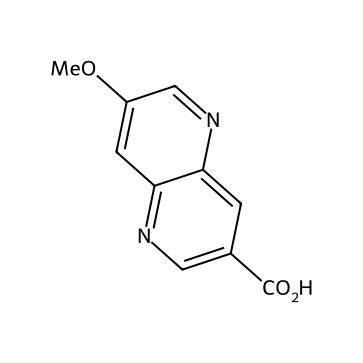 COc1cnc2cc(C(=O)O)cnc2c1